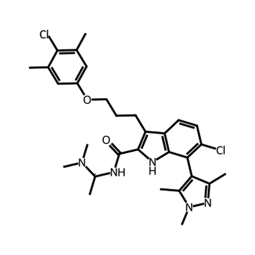 C[C](NC(=O)c1[nH]c2c(-c3c(C)nn(C)c3C)c(Cl)ccc2c1CCCOc1cc(C)c(Cl)c(C)c1)N(C)C